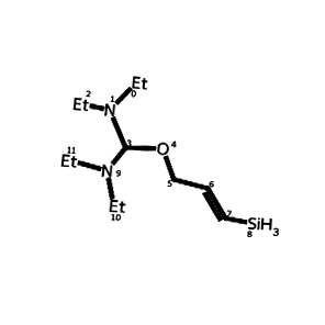 CCN(CC)C(OCC=C[SiH3])N(CC)CC